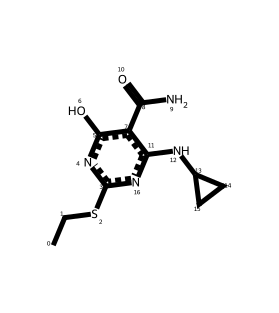 CCSc1nc(O)c(C(N)=O)c(NC2CC2)n1